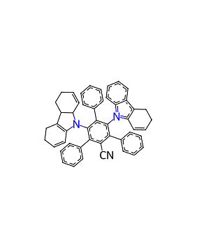 N#Cc1c(-c2ccccc2)c(N2C3=C(CCC=C3)C3CCC=CC32)c(-c2ccccc2)c(-n2c3c(c4ccccc42)CCC=C3)c1-c1ccccc1